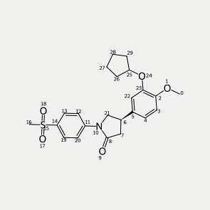 COc1ccc([C@H]2CC(=O)N(c3ccc(S(C)(=O)=O)cc3)C2)cc1OC1CCCC1